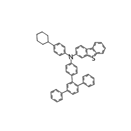 c1ccc(-c2ccc(-c3ccccc3)c(-c3ccc(N(c4ccc(C5CCCCC5)cc4)c4ccc5c(c4)sc4ccccc45)cc3)c2)cc1